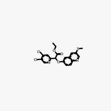 CCOC(=O)C(Oc1ccc2ncc(SC)cc2c1)c1cc(Cl)c(Cl)cn1